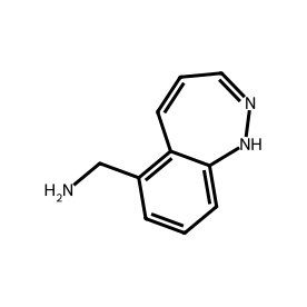 NCc1cccc2c1C=CC=NN2